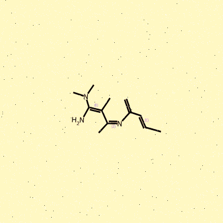 C=C(/C=C/C)/N=C(C)\C(C)=C(/N)N(C)C